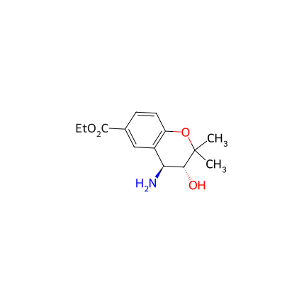 CCOC(=O)c1ccc2c(c1)[C@H](N)[C@@H](O)C(C)(C)O2